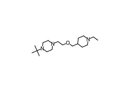 CCN1CCC(COCCN2CCN(C(C)(C)C)CC2)CC1